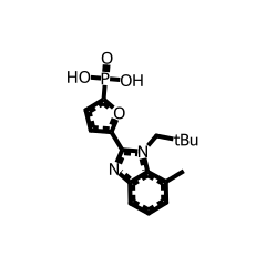 Cc1cccc2nc(-c3ccc(P(=O)(O)O)o3)n(CC(C)(C)C)c12